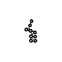 c1ccc(-c2ccc(-n3c4ccccc4c4cc5c(cc43)c3ccccc3n5-c3cccc([Si]4(c5ccccc5)c5ccccc5-c5ccccc54)c3)cc2)cc1